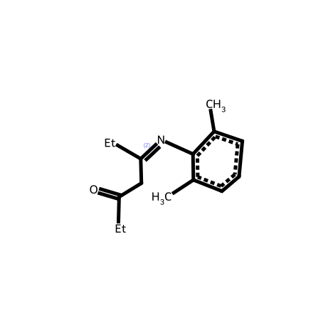 CCC(=O)C/C(CC)=N\c1c(C)cccc1C